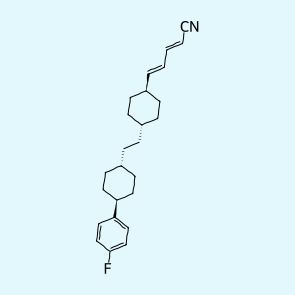 N#C/C=C/C=C/[C@H]1CC[C@H](CC[C@H]2CC[C@H](c3ccc(F)cc3)CC2)CC1